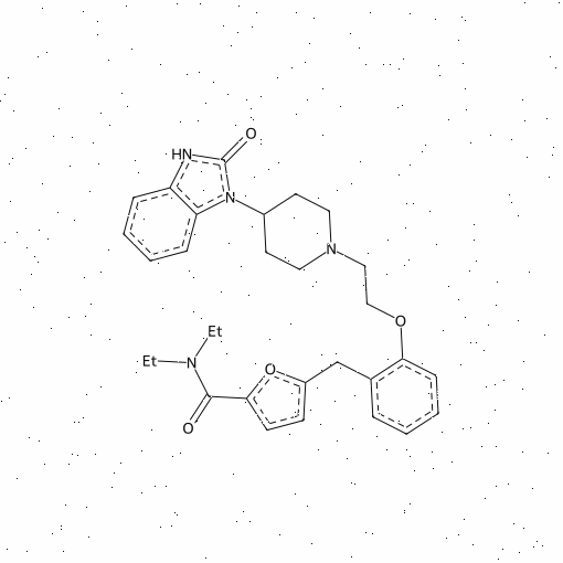 CCN(CC)C(=O)c1ccc(Cc2ccccc2OCCN2CCC(n3c(=O)[nH]c4ccccc43)CC2)o1